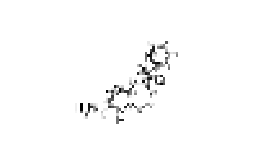 NCC(=O)NC1CCCN(S(=O)(=O)c2ccccn2)CC1=O